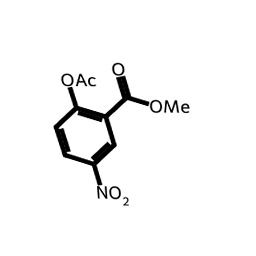 COC(=O)c1cc([N+](=O)[O-])ccc1OC(C)=O